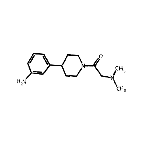 CN(C)CC(=O)N1CCC(c2cccc(N)c2)CC1